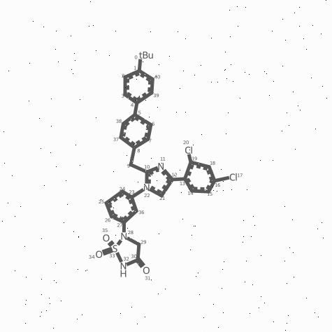 CC(C)(C)c1ccc(-c2ccc(Cc3nc(-c4ccc(Cl)cc4Cl)cn3-c3cccc(N4CC(=O)NS4(=O)=O)c3)cc2)cc1